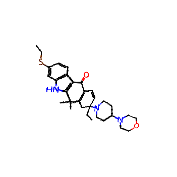 CCSc1ccc2c3c([nH]c2c1)C(C)(C)C1=C(C=CC(CC)(N2CCC(N4CCOCC4)CC2)C1)C3=O